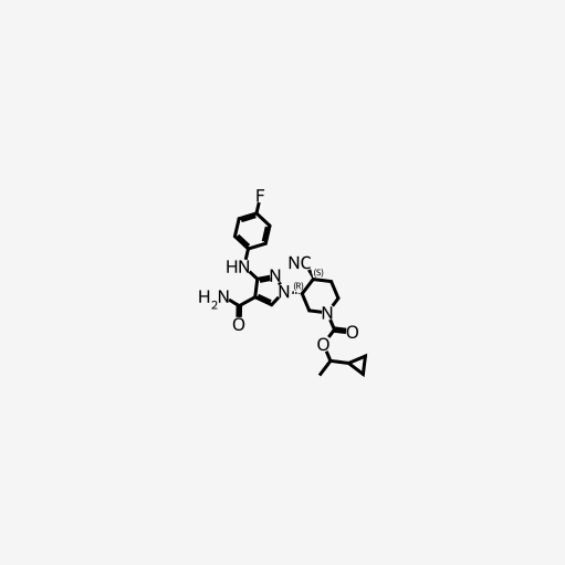 CC(OC(=O)N1CC[C@H](C#N)[C@@H](n2cc(C(N)=O)c(Nc3ccc(F)cc3)n2)C1)C1CC1